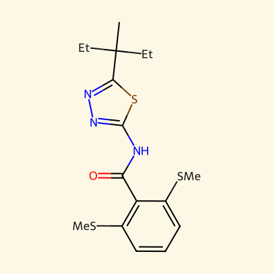 CCC(C)(CC)c1nnc(NC(=O)c2c(SC)cccc2SC)s1